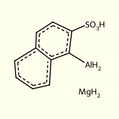 O=S(=O)(O)c1ccc2ccccc2[c]1[AlH2].[MgH2]